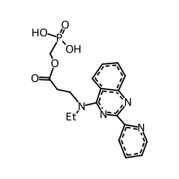 CCN(CCC(=O)OCP(=O)(O)O)c1nc(-c2ccccn2)nc2ccccc12